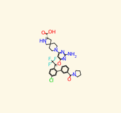 Nc1nc(O[C@H](c2ccc(Cl)cc2-c2cccc(C(=O)N3CCCC3)c2)C(F)(F)F)cc(N2CCC3(CC2)CN[C@H](C(=O)O)C3)n1